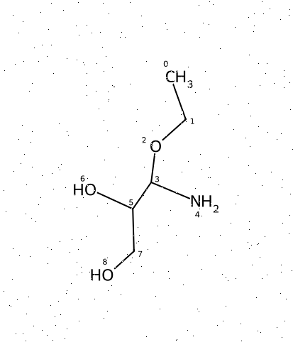 CCOC(N)C(O)CO